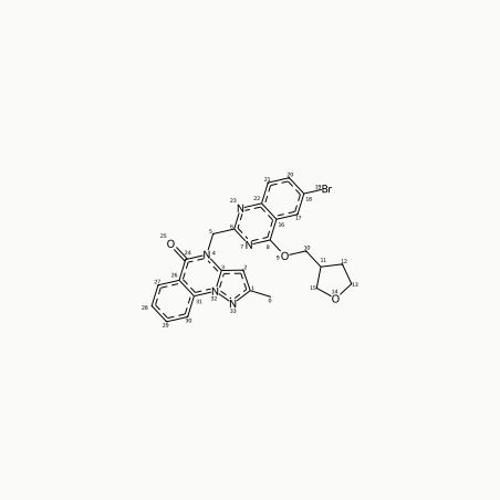 Cc1cc2n(Cc3nc(OCC4CCOC4)c4cc(Br)ccc4n3)c(=O)c3ccccc3n2n1